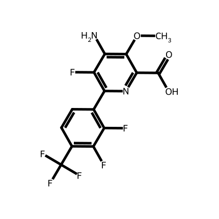 COc1c(C(=O)O)nc(-c2ccc(C(F)(F)F)c(F)c2F)c(F)c1N